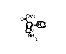 COC(=O)c1cc(C2CC3CCC(C2)N3)c2nc(N)sc2c1